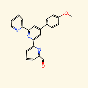 COc1ccc(-c2cc(-c3ccccn3)nc(-c3cccc(C=O)n3)c2)cc1